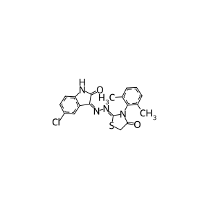 Cc1cccc(C)c1N1C(=O)CSC1=NN=C1C(=O)Nc2ccc(Cl)cc21